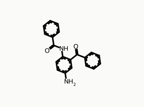 Nc1ccc(NC(=O)c2ccccc2)c(C(=O)c2ccccc2)c1